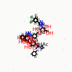 CC(=O)NC1C(O[C@@H](CC2CCCCC2)C(=O)N2CCC2)[C@@H](O)C(CO)O[C@H]1O[C@@H]1CC(CO[C@H]2OC(CO)[C@@H](O)C(n3cc(-c4cc(F)c(F)c(F)c4)nn3)C2O)CC(n2cc(-c3ccccc3)nn2)C1O[C@@H]1OC(C)[C@@H](O)C(O)C1O